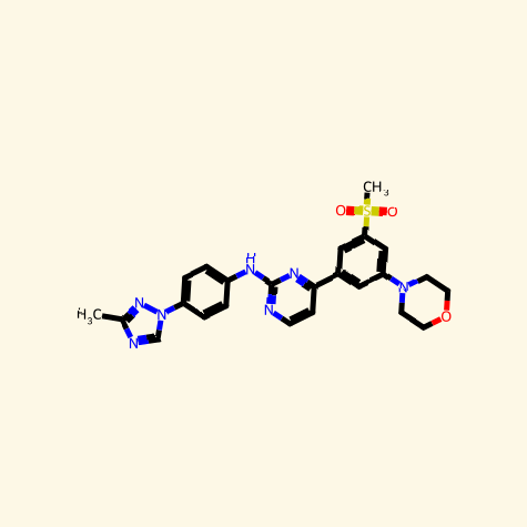 Cc1ncn(-c2ccc(Nc3nccc(-c4cc(N5CCOCC5)cc(S(C)(=O)=O)c4)n3)cc2)n1